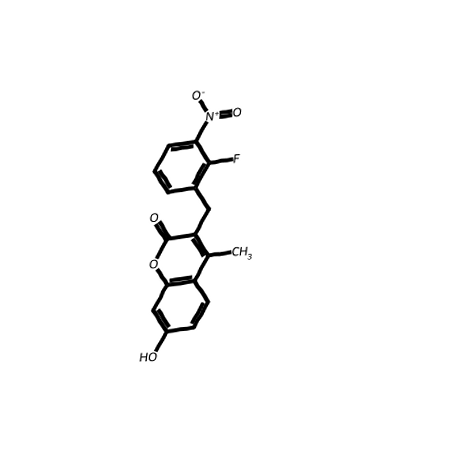 Cc1c(Cc2cccc([N+](=O)[O-])c2F)c(=O)oc2cc(O)ccc12